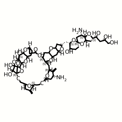 C=C1C[C@@H]2CC[C@]34OC5[C@@H]6O[C@H]7CC[C@H](CC(=O)O[C@@H]8CC9OC%10C[C@H](C[C@@H]%11O[C@@]%12(CC[C@@H]%11O)C[C@H](N)[C@@H]%11O[C@H]([C@@H](O)C[C@@H](O)CO)C[C@@H]%11O%12)O[C@@H]%10C[C@@H]9O[C@H]8C[C@H]8O[C@@H](CC[C@@H]1O2)C[C@@H](N)C8=C)O[C@@H]7[C@H](O3)[C@@H]6OC5(O)[C@H]4O